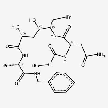 CC(C)C[C@H](NC(=O)[C@H](CC(N)=O)NC(=O)OC(C)(C)C)[C@@H](O)C[C@@H](C)C(=O)N[C@H](C(=O)NCc1ccccc1)C(C)C